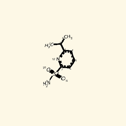 CC(C)c1cccc(S(N)(=O)=O)n1